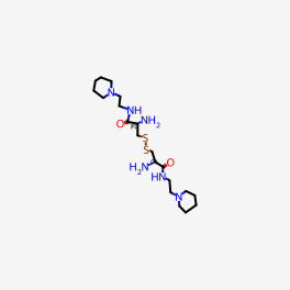 N[C@@H](CSSC[C@H](N)C(=O)NCCN1CCCCC1)C(=O)NCCN1CCCCC1